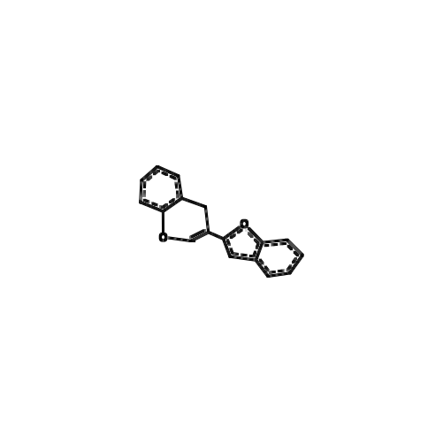 [C]1=C(c2cc3ccccc3o2)Cc2ccccc2O1